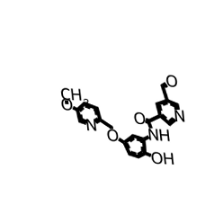 COc1ccc(COc2ccc(O)c(NC(=O)c3cncc(C=O)c3)c2)nc1